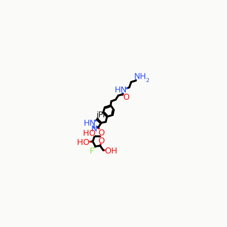 CC(C)c1[nH]nc(OC2OC(CO)C(F)C(O)C2O)c1Cc1ccc(CCCC(=O)NCCCN)cc1